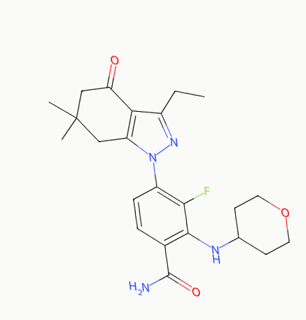 CCc1nn(-c2ccc(C(N)=O)c(NC3CCOCC3)c2F)c2c1C(=O)CC(C)(C)C2